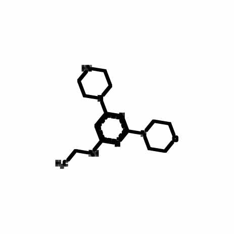 CCNc1cc(N2CCNCC2)nc(N2CCOCC2)n1